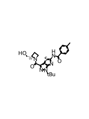 Cc1ccc(C(=O)Nc2nc3c(s2)c(C(=O)N2CC[C@H]2CO)nn3C(C)(C)C)cc1